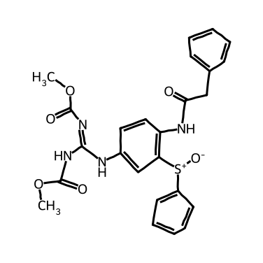 COC(=O)N=C(NC(=O)OC)Nc1ccc(NC(=O)Cc2ccccc2)c([S+]([O-])c2ccccc2)c1